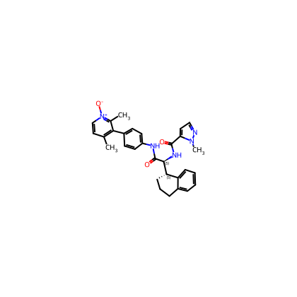 Cc1cc[n+]([O-])c(C)c1-c1ccc(NC(=O)[C@@H](NC(=O)c2ccnn2C)[C@H]2CCCc3ccccc32)cc1